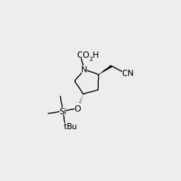 CC(C)(C)[Si](C)(C)O[C@H]1C[C@H](CC#N)N(C(=O)O)C1